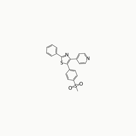 CS(=O)(=O)c1ccc(-c2sc(-c3ccccc3)nc2-c2ccncc2)cc1